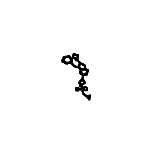 O=S(=O)(CC1CC1)N1CC(c2ccc3c(c2)C(Cc2ccccc2)C(N2CCC2)C3)C1